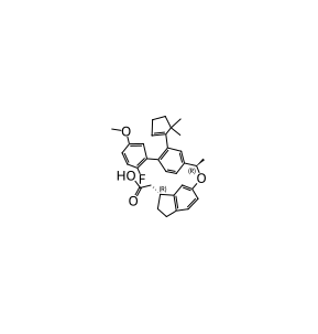 COc1ccc(F)c(-c2ccc([C@@H](C)Oc3ccc4c(c3)[C@@H](CC(=O)O)CC4)cc2C2=CCCC2(C)C)c1